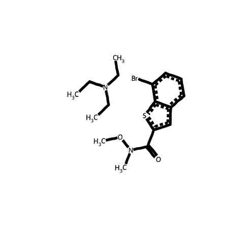 CCN(CC)CC.CON(C)C(=O)c1cc2cccc(Br)c2s1